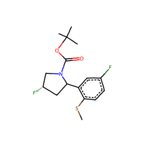 CSc1ccc(F)cc1C1C[C@H](F)CN1C(=O)OC(C)(C)C